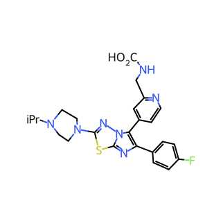 CC(C)N1CCN(c2nn3c(-c4ccnc(CNC(=O)O)c4)c(-c4ccc(F)cc4)nc3s2)CC1